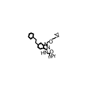 CCCC(=O)Nc1nn(COCC[Si](C)(C)C)c2cc(CCc3ccccc3)ccc12